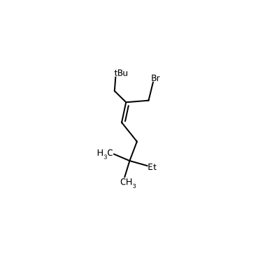 CCC(C)(C)C/C=C(\CBr)CC(C)(C)C